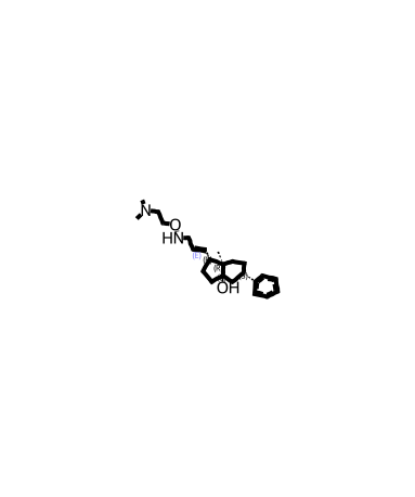 CN(C)CCONC/C=C/[C@H]1CC[C@]2(O)C[C@@H](c3ccccc3)CC[C@]12C